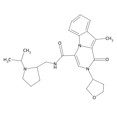 Cc1c2ccccc2n2c(C(=O)NCC3CCCN3C(C)C)cn(C3CCOC3)c(=O)c12